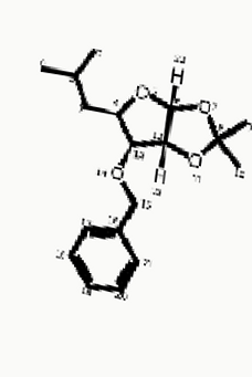 CC(C)C[C@H]1O[C@@H]2OC(C)(C)O[C@@H]2[C@H]1OCc1ccccc1